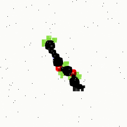 CCCc1ccc(C(F)(F)Oc2cc(F)c(C(F)(F)OC3CCC(/C=C/CCc4cc(F)c(F)c(F)c4)CC3)c(F)c2)c(F)c1